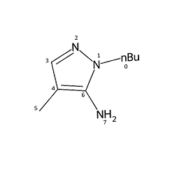 CCCCn1ncc(C)c1N